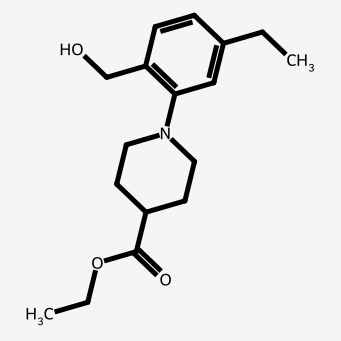 CCOC(=O)C1CCN(c2cc(CC)ccc2CO)CC1